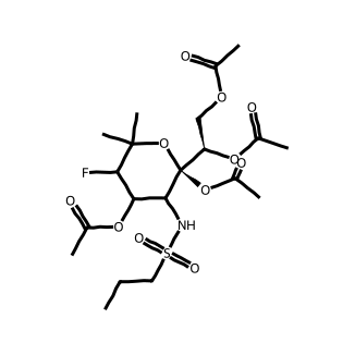 CCCS(=O)(=O)NC1C(OC(C)=O)C(F)C(C)(C)O[C@]1(OC(C)=O)[C@@H](COC(C)=O)OC(C)=O